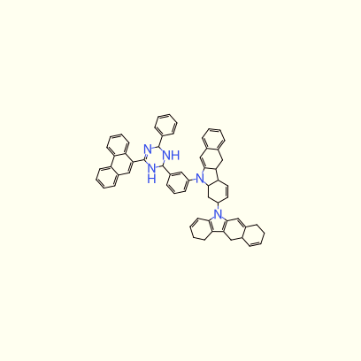 C1=CC2Cc3c4c(n(C5C=CC6C7Cc8ccccc8C=C7N(c7cccc(C8NC(c9cc%10ccccc%10c%10ccccc9%10)=NC(c9ccccc9)N8)c7)C6C5)c3C=C2CC1)C=CCC4